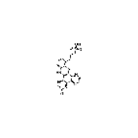 O=S(=O)(O)CCCc1cccc2c1Sc1c(c3ncc(Cl)nc3c3nccnc13)N2